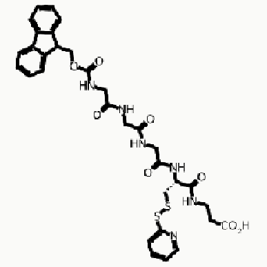 O=C(O)CCNC(=O)[C@H](CSSc1ccccn1)NC(=O)CNC(=O)CNC(=O)CNC(=O)OCC1c2ccccc2-c2ccccc21